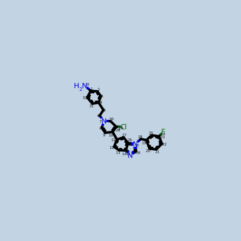 Nc1ccc(CCN2C=CC(c3ccc4ncn(Cc5cccc(F)c5)c4c3)=C(Cl)C2)cc1